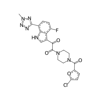 Cn1nnc(-c2ccc(F)c3c(C(=O)C(=O)N4CCN(C(=O)c5ccc(Cl)o5)CC4)c[nH]c23)n1